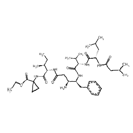 CCOC(=O)C1(NC(=O)[C@@H](NC(=O)C[C@H](N)[C@H](Cc2ccccc2)NC(=O)[C@@H](NC(=O)[C@H](CC(C)C)NC(=O)CC(C)C)C(C)C)[C@@H](C)CC)CC1